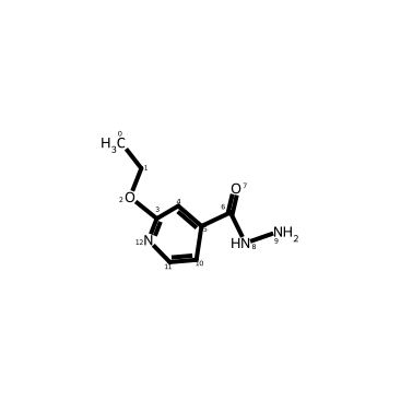 CCOc1cc(C(=O)NN)ccn1